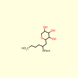 CCCCCC(CCCC(=O)O)CC1OCC(O)C(O)C1O